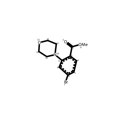 COC(=O)c1ccc(Br)cc1N1CCOCC1